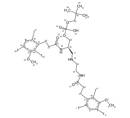 COc1c(I)cc(I)c(CCC(=O)NCCNC[C@H](COP(=O)(O)OCC(C)(C)C)NC(=O)CCc2c(I)cc(I)c(OC)c2I)c1I